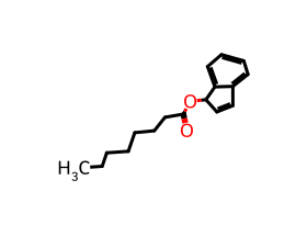 CCCCCCCC(=O)OC1C=Cc2ccccc21